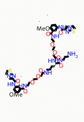 COc1ccc(NC(=O)c2cn3ccsc3n2)cc1C(=O)NCCOCCOCC(=O)NCCCC[C@H](NC(=O)COCCOCCNC(=O)c1cc(NC(=O)c2cn3ccsc3n2)ccc1OC)C(=O)NCCCN